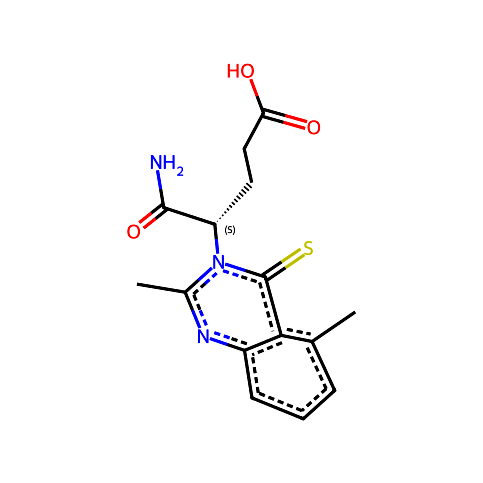 Cc1cccc2nc(C)n([C@@H](CCC(=O)O)C(N)=O)c(=S)c12